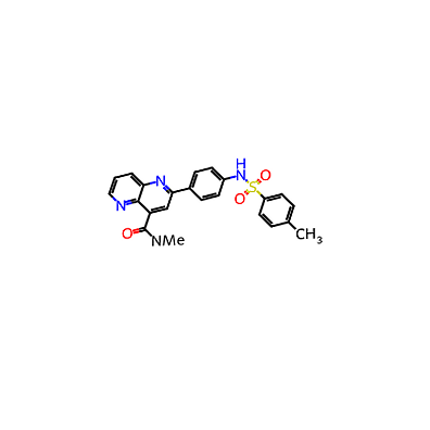 CNC(=O)c1cc(-c2ccc(NS(=O)(=O)c3ccc(C)cc3)cc2)nc2cccnc12